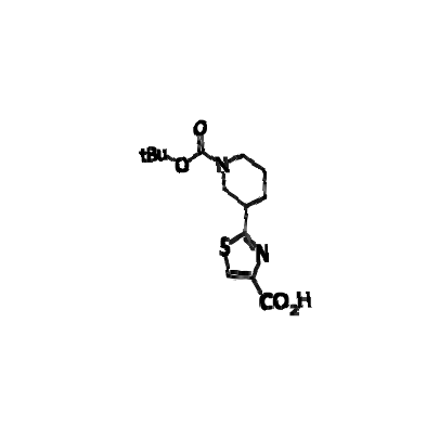 CC(C)(C)OC(=O)N1CCCC(c2nc(C(=O)O)cs2)C1